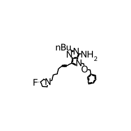 CCCCc1nc(N)c2c(n1)c(C#CCCCCN1CC[C@H](F)C1)cn2COCc1ccccc1